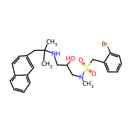 CN(CC(O)CNC(C)(C)Cc1ccc2ccccc2c1)S(=O)(=O)Cc1ccccc1Br